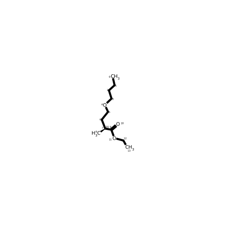 CCCCOCC[C@H](C)C(=O)OCC